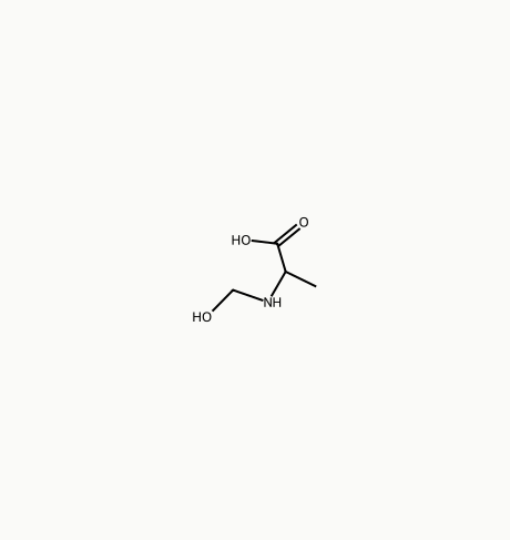 CC(NCO)C(=O)O